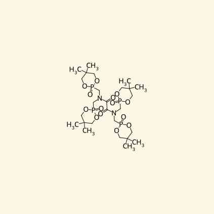 CC1(C)COP(=O)(CN(CP2(=O)OCC(C)(C)CO2)C(=O)C(=O)N(CP2(=O)OCC(C)(C)CO2)CP2(=O)OCC(C)(C)CO2)OC1